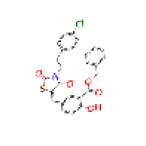 O=C(OCc1ccccc1)c1cc(C=C2SC(=O)N(CCc3ccc(Cl)cc3)C2=O)ccc1O